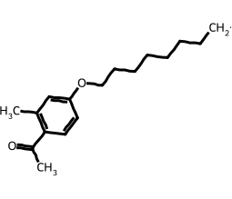 [CH2]CCCCCCCOc1ccc(C(C)=O)c(C)c1